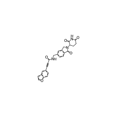 O=C(C#Cc1ccc2occc2c1)NCc1ccc2c(c1)CN(C1CCC(=O)NC1=O)C2=O